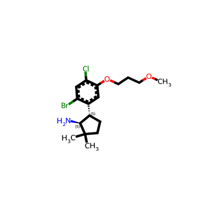 COCCCOc1cc([C@@H]2CCC(C)(C)[C@H]2N)c(Br)cc1Cl